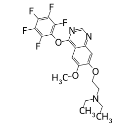 CCN(CC)CCOc1cc2ncnc(Oc3c(F)c(F)c(F)c(F)c3F)c2cc1OC